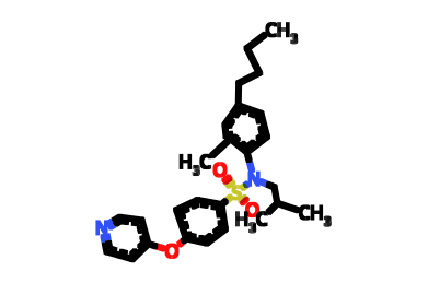 CCCCc1ccc(N(CC(C)C)S(=O)(=O)c2ccc(Oc3ccncc3)cc2)c(C)c1